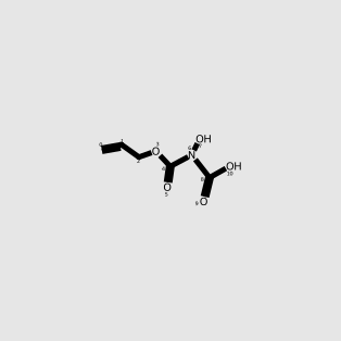 C=CCOC(=O)N(O)C(=O)O